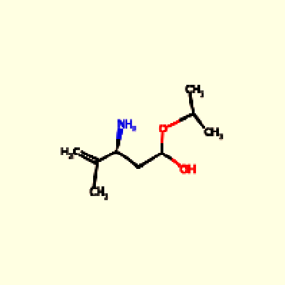 C=C(C)[C@@H](N)CC(O)OC(C)C